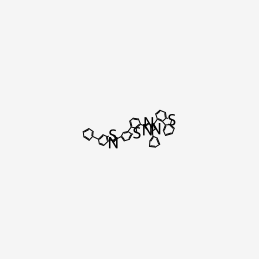 c1ccc(-c2ccc3nc(-c4ccc5sc6c(-c7nc(-c8ccccc8)nc(-c8cccc9sc%10ccccc%10c89)n7)cccc6c5c4)sc3c2)cc1